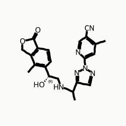 Cc1cc(-n2ncc(C(C)NC[C@H](O)c3ccc4c(c3C)COC4=O)n2)ncc1C#N